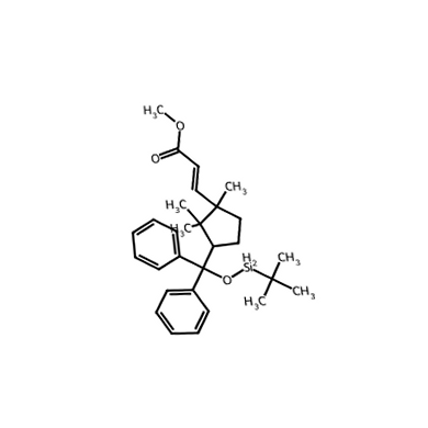 COC(=O)C=CC1(C)CCC(C(O[SiH2]C(C)(C)C)(c2ccccc2)c2ccccc2)C1(C)C